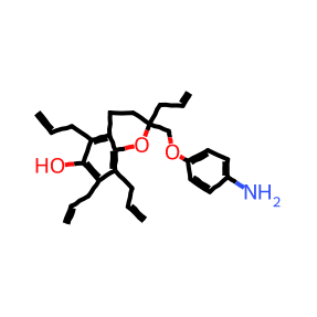 C=CCc1c(O)c(CC=C)c2c(c1CC=C)OC(CC=C)(COc1ccc(N)cc1)CC2